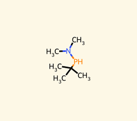 CN(C)PC(C)(C)C